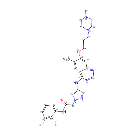 COc1cc2c(Nc3cnn(CC(=O)Nc4cccc(F)c4F)c3)ncnc2cc1OCCCN1CCN(C)CC1